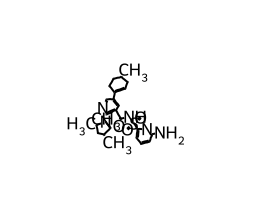 CC1CC=C(c2cnc(N3CC(C)CC3(C)C)c(C(=O)NS(=O)(=O)c3cccc(N)n3)c2)CC1